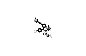 Cc1nnc2n1-c1ccc(C#Cc3cnn(C)c3)cc1C(c1ccc(Cl)cc1)=N[C@H]2CC(N)=O